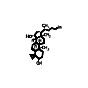 CC(C)CCC[C@@H](C)[C@H]1C[C@@H](O)[C@H]2[C@@H]3CC=C4C5(CC5)[C@H](O)CC[C@]4(C)[C@H]3CC[C@@]21C